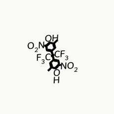 Cc1cc(C(c2cc(C)c(O)c([N+](=O)[O-])c2)(C(F)(F)F)C(F)(F)F)cc([N+](=O)[O-])c1O